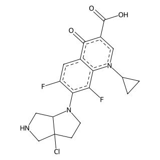 O=C(O)c1cn(C2CC2)c2c(F)c(N3CCC4(Cl)CNCC34)c(F)cc2c1=O